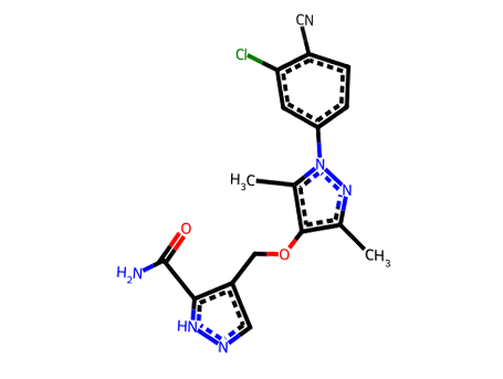 Cc1nn(-c2ccc(C#N)c(Cl)c2)c(C)c1OCc1cn[nH]c1C(N)=O